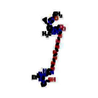 C=CC(=O)N1CCN([C@@H](CC2CC2)c2ccc([C@H](C)Nc3ncc4c(n3)N(CCOCCOCCOCCOCCOCCOCCOc3ccc(CNc5cc(N6CCCC[C@H]6CCO)nc6c(CC)cnn56)cn3)C(=O)OC4)cc2)CC1